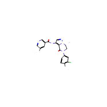 COc1cncc(C(=O)Nc2cnn3c2C(=O)N(c2ccc(C(F)(F)F)c(Cl)c2)C[C@@H]3C)c1